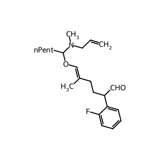 C=CCN(C)C(CCCCC)O/C=C(\C)CCC(C=O)c1ccccc1F